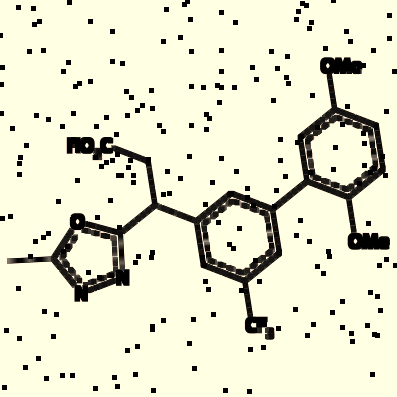 COc1ccc(OC)c(-c2cc(C(CC(=O)O)c3nnc(C)o3)cc(C(F)(F)F)c2)c1